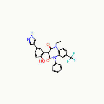 CCN1C(=O)C(c2cc(-c3cn[nH]c3)ccc2O)C(=O)N(c2ccccc2)c2cc(C(F)(F)F)ccc21